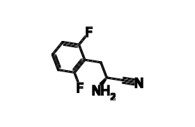 N#C[C@@H](N)Cc1c(F)cccc1F